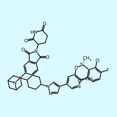 C[C@@H](Oc1cc(-c2cnn(C3CCC(CN4C5CC4CN(c4ccc6c(c4)C(=O)N(C4CCC(=O)NC4=O)C6=O)C5)CC3)c2)cnc1N)c1c(Cl)ccc(F)c1Cl